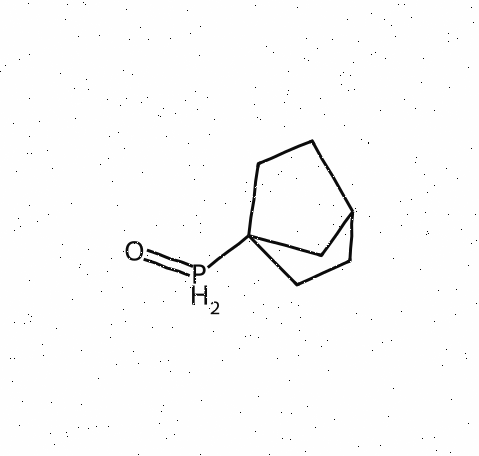 O=[PH2]C12CCC(CC1)C2